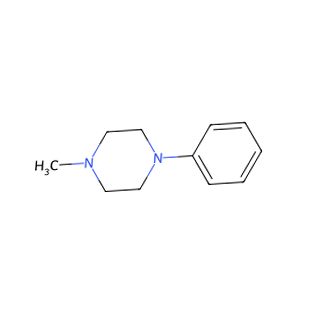 CN1CCN(c2ccccc2)CC1